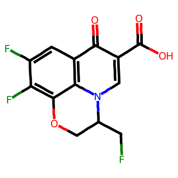 O=C(O)c1cn2c3c(c(F)c(F)cc3c1=O)OCC2CF